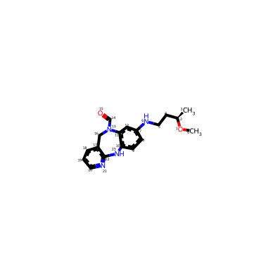 CO[C@H](C)CCNc1ccc2c(c1)N(C=O)Cc1cccnc1N2